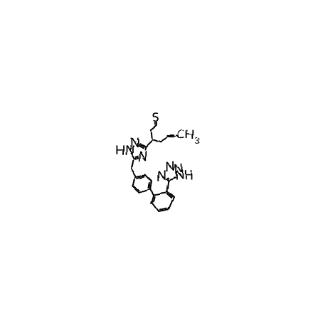 CC=CCC(CC=S)c1n[nH]c(Cc2ccc(-c3ccccc3-c3nnn[nH]3)cc2)n1